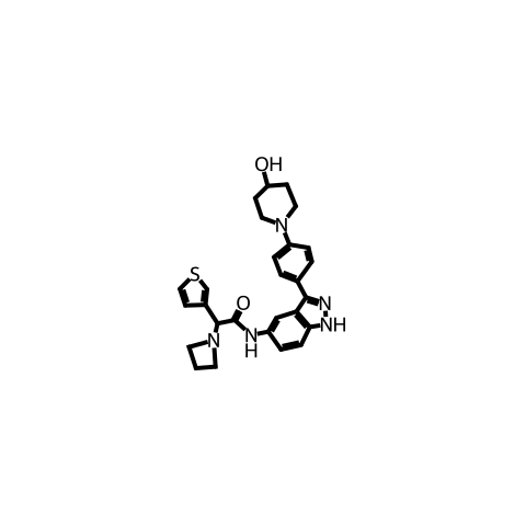 O=C(Nc1ccc2[nH]nc(-c3ccc(N4CCC(O)CC4)cc3)c2c1)C(c1ccsc1)N1CCC1